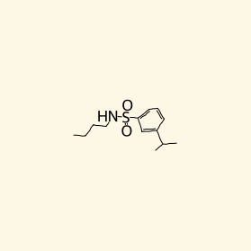 CCCCNS(=O)(=O)c1cccc(C(C)C)c1